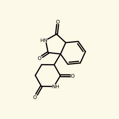 O=C1CCC(C23C=CC=CC2C(=O)NC3=O)C(=O)N1